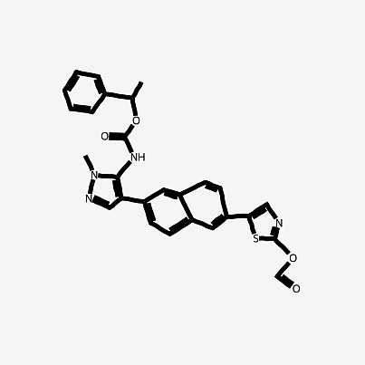 CC(OC(=O)Nc1c(-c2ccc3cc(-c4cnc(OC=O)s4)ccc3c2)cnn1C)c1ccccc1